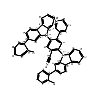 Cc1ccccc1-c1ccc2c3ccccc3n(-c3cc(-c4cccnc4)c(-n4c5ccccc5c5ccc(-c6ccccc6C)cc54)cc3C#N)c2c1